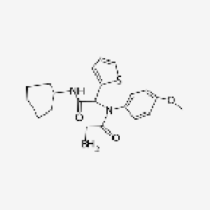 BCC(=O)N(c1ccc(OC)cc1)C(C(=O)NC1CCCCC1)c1cccs1